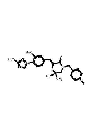 COc1cc(C=C2OC(C)(C)CN(Cc3ccc(F)cc3)C2=O)ccc1-n1cnc(C)n1